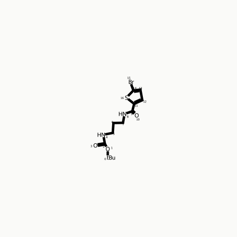 CC(C)(C)OC(=O)NCCCNC(=O)c1ccc(Br)s1